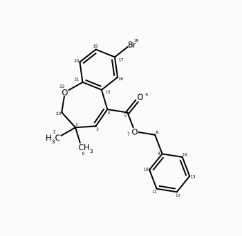 CC1(C)C=C(C(=O)OCc2ccccc2)c2cc(Br)ccc2OC1